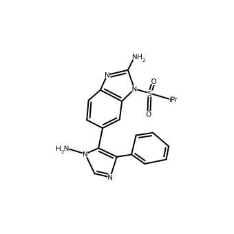 CC(C)S(=O)(=O)n1c(N)nc2ccc(-c3c(-c4ccccc4)ncn3N)cc21